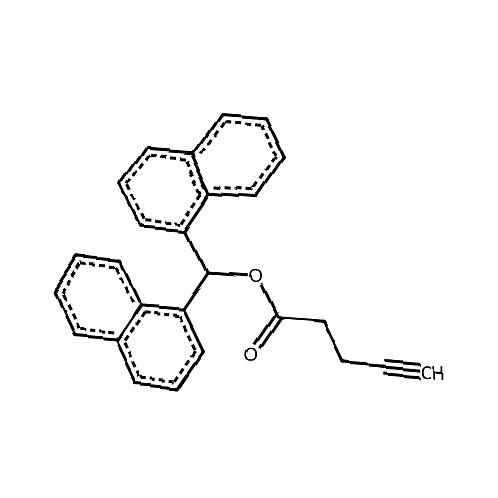 C#CCCC(=O)OC(c1cccc2ccccc12)c1cccc2ccccc12